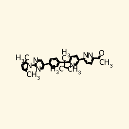 CC(=O)c1ccc(-c2ccc(C(C)(c3ccc(-c4cnc(-n5c(C)ccc5C)nc4)cc3)C(C)C)nc2)nn1